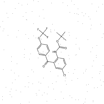 CC(C)(C)OC(=O)Nc1ccc(Cl)cc1C(=O)c1ccc(OC(F)(F)F)cc1